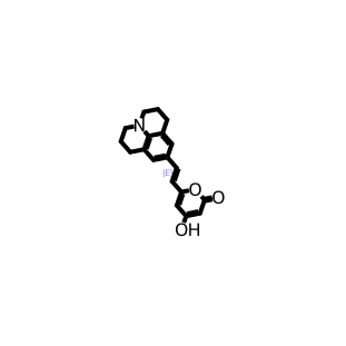 O=c1cc(O)cc(/C=C/c2cc3c4c(c2)CCCN4CCC3)o1